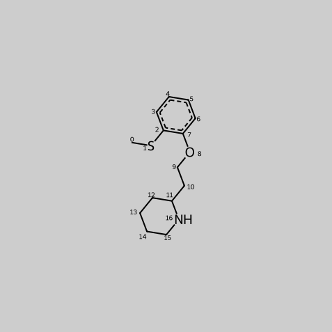 CSc1ccccc1OCCC1CCCCN1